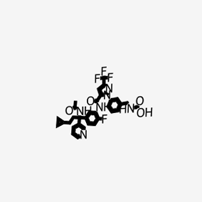 CC(=O)NC(CCC1CC1)(c1cccnc1)c1ccc(F)c(NC(=O)c2cc(C(F)(F)F)nn2-c2cccc(CNC(=O)O)c2)c1